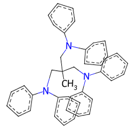 CC(CN(c1ccccc1)c1ccccc1)(CN(c1ccccc1)c1ccccc1)CN(c1ccccc1)c1ccccc1